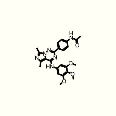 COc1cc(Nc2nc(-c3ccc(NC(C)=O)cc3)nn3c(C)nc(C)c23)cc(OC)c1OC